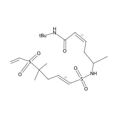 C=CS(=O)(=O)C(C)(C)C/C=C/S(=O)(=O)NC(C)C/C=C\C(=O)NC(C)(C)C